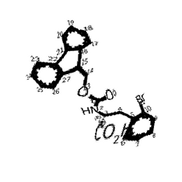 O=C(N[C@H](Cc1ccccc1Br)C(=O)O)OCC1c2ccccc2-c2ccccc21